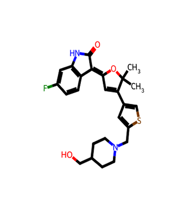 CC1(C)OC(=C2C(=O)Nc3cc(F)ccc32)C=C1c1csc(CN2CCC(CO)CC2)c1